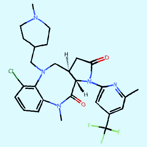 Cc1cc(C(F)(F)F)cc(N2C(=O)C[C@@H]3CN(CC4CCN(C)CC4)c4c(Cl)cccc4N(C)C(=O)[C@H]32)n1